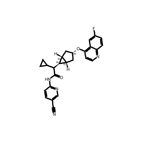 N#Cc1ccc(NC(=O)C(C2CC2)[C@H]2[C@@H]3C[C@H](Oc4ccnc5ccc(F)cc45)C[C@@H]32)nc1